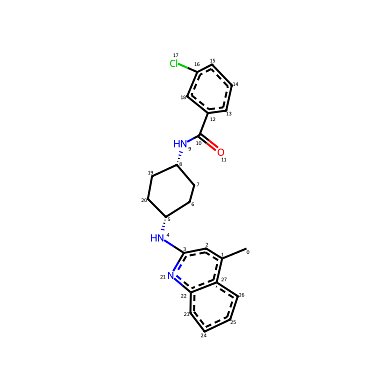 Cc1cc(N[C@H]2CC[C@@H](NC(=O)c3cccc(Cl)c3)CC2)nc2ccccc12